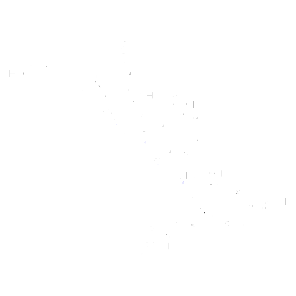 CC1(C)C2=CC(Cl)=CN(CCCCS(=O)(=O)O)C2=N/C1=C/C=C/C(=C/C=C/C1=[N+](CCCCS(=O)(=O)O)c2ccc(S(=O)(=O)O)cc2C1(C)C)c1cccc(C(=O)O)c1